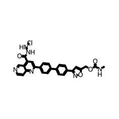 CNC(=O)OCc1cc(-c2ccc(-c3ccc(-c4cc(C(=O)NNCl)c5cnccc5n4)cc3)cc2)no1